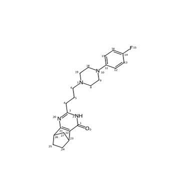 O=c1[nH]c(CCCN2CCN(c3ccc(F)cc3)CC2)nc2c1C1CCC2C1